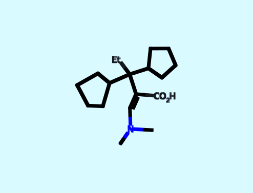 CCC(C(=CN(C)C)C(=O)O)(C1CCCC1)C1CCCC1